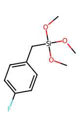 CO[Si](Cc1ccc(F)cc1)(OC)OC